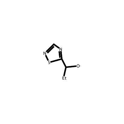 CCC([O])c1ncns1